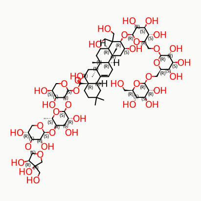 C[C@@H]1O[C@@H](O[C@H]2[C@H](OC(=O)[C@]34CCC(C)(C)C[C@H]3C3=CC[C@@H]5[C@@]6(C)C[C@H](O)[C@H](O[C@@H]7O[C@H](CO[C@@H]8O[C@H](CO[C@@H]9O[C@H](CO)[C@@H](O)[C@H](O)[C@H]9O)[C@@H](O)[C@H](O)[C@H]8O)[C@@H](O)[C@H](O)[C@H]7O)C(CO)(CO)[C@@H]6CC[C@@]5(C)[C@]3(C)C[C@H]4O)OC[C@H](O)[C@@H]2O)[C@H](O)[C@H](O)[C@H]1O[C@@H]1OC[C@@H](O)[C@H](O[C@@H]2OC[C@](O)(CO)[C@H]2O)[C@H]1O